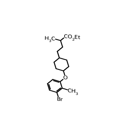 CCOC(=O)C(C)CCC1CCC(Oc2cccc(Br)c2C)CC1